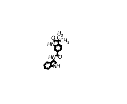 CC1(C)C(=O)Nc2cc(C(=O)Nc3c[nH]c4ccccc34)ccc21